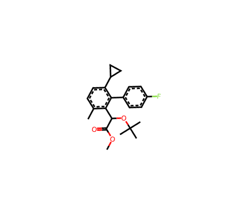 COC(=O)C(OC(C)(C)C)c1c(C)ccc(C2CC2)c1-c1ccc(F)cc1